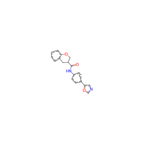 O=C(Nc1ccc(-c2cnco2)cc1)C1COc2ccccc2C1